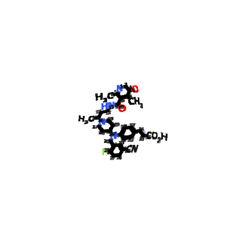 CC1=NCC(=O)C(C)=C1C(=O)NCCC(C)N1CCC(N(Cc2cc(C#N)ccc2F)c2ccc(/C=C/C(=O)O)cc2)CC1